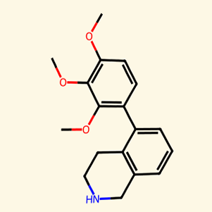 COc1ccc(-c2cccc3c2CCNC3)c(OC)c1OC